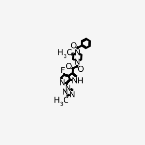 Cc1ncn(-c2ncc(F)c3c(C(=O)C(=O)N4CCN(C(=O)c5ccccc5)[C@H](C)C4)c[nH]c23)n1